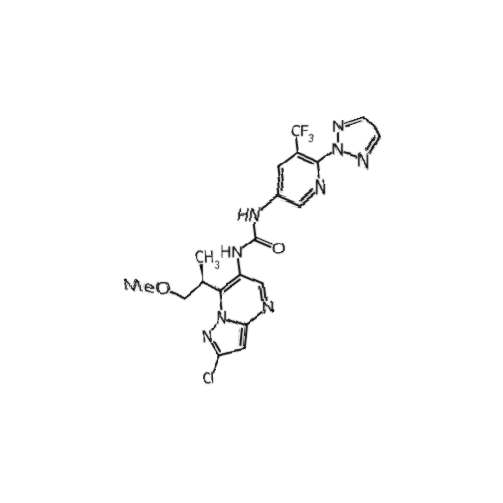 COC[C@@H](C)c1c(NC(=O)Nc2cnc(-n3nccn3)c(C(F)(F)F)c2)cnc2cc(Cl)nn12